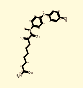 CN(C(=O)C(=O)CCCCCCC(N)=O)c1ccc(Oc2ccc(Cl)cc2)cc1